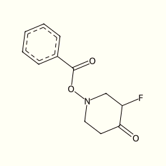 O=C(ON1CCC(=O)C(F)C1)c1ccccc1